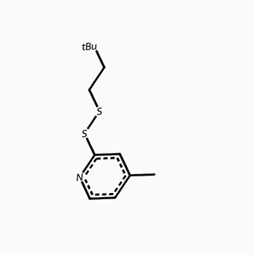 Cc1ccnc(SSCCC(C)(C)C)c1